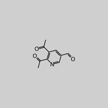 CC(=O)c1cc(C=O)cnc1C(C)=O